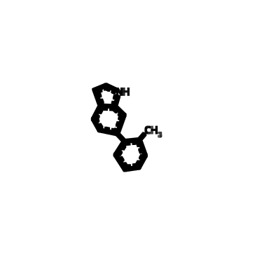 Cc1ccccc1-c1ccc2cc[nH]c2c1